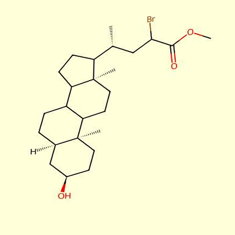 COC(=O)C(Br)C[C@@H](C)C1CCC2C3CC[C@@H]4C[C@H](O)CC[C@]4(C)C3CC[C@@]21C